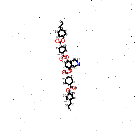 CCCc1ccc(OC(=O)[C@H]2CC[C@H](C(=O)Oc3ccc(OC(=O)[C@H]4CC[C@H](C(=O)Oc5ccc(CCC)cc5)CC4)c4cnccc34)CC2)cc1